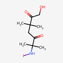 CC(C)(CC(=O)C(C)(C)NI)C(=O)CO